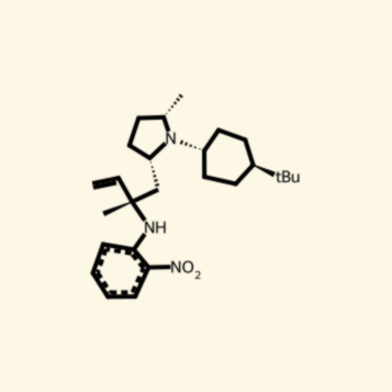 C=C[C@](C)(C[C@@H]1CC[C@H](C)N1[C@H]1CC[C@H](C(C)(C)C)CC1)Nc1ccccc1[N+](=O)[O-]